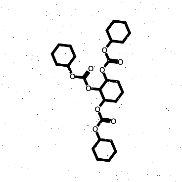 O=C(OC1CCCCC1)OC1CCCC(OC(=O)OC2CCCCC2)C1OC(=O)OC1CCCCC1